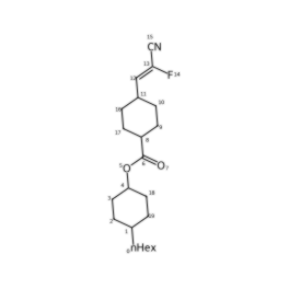 CCCCCCC1CCC(OC(=O)C2CCC(C=C(F)C#N)CC2)CC1